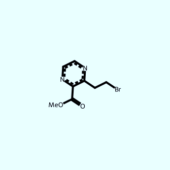 COC(=O)c1nccnc1CCBr